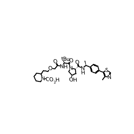 Cc1ncsc1-c1ccc([C@H](C)NC(=O)[C@@H]2C[C@@H](O)CN2C(=O)[C@@H](NC(=O)COCCC2CCCCN2C(=O)O)C(C)(C)C)cc1